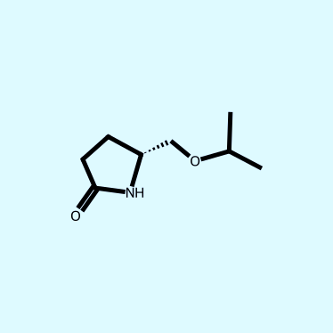 CC(C)OC[C@H]1CCC(=O)N1